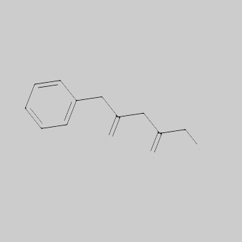 CCC(=O)CC(=O)Cc1ccccc1